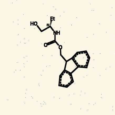 CC[C@@H](CO)NC(=O)OCC1c2ccccc2-c2ccccc21